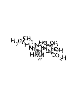 CC(C)=CCN=c1ncn([C@@H]2O[C@H](C(=O)O)[C@@H](O)[C@H](O)[C@H]2O)c2nc[nH]c12